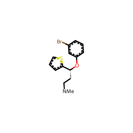 CNCC[C@@H](Oc1cccc(Br)c1)c1cccs1